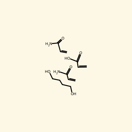 C=CC(=O)O.C=CC(N)=O.C=CC(N)=O.OCCCCO